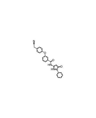 N#CCc1ccc(Oc2cccc(C(=O)Nc3cc(=O)n(-c4ccccc4)[nH]3)c2)cc1